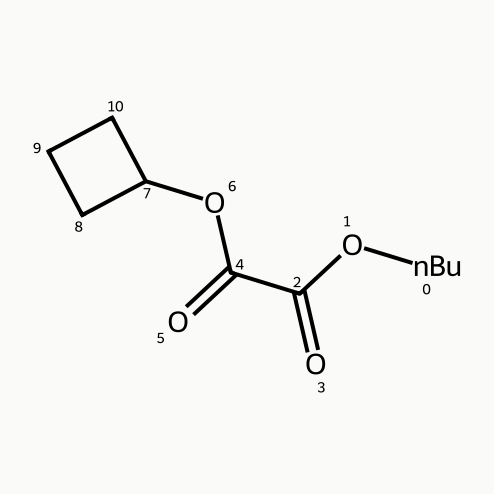 CCCCOC(=O)C(=O)OC1CCC1